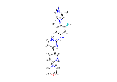 CN1C[C@H]2C[C@@H]1CN2c1ccc(Nc2nccc(-c3ccc(N4CCOCC4)nc3)n2)cc1F